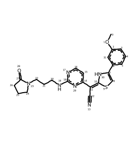 COc1cccc(C2=CS/C(=C(\C#N)c3ccnc(NCCCN4CCCC4=O)n3)N2)c1